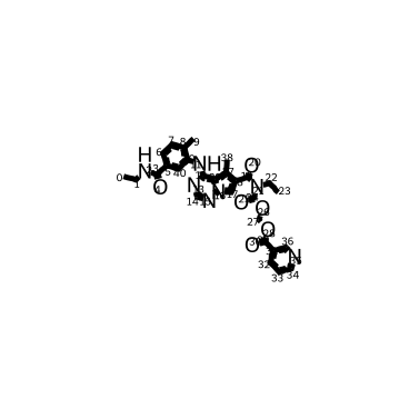 CCNC(=O)c1ccc(C)c(Nc2ncnn3cc(C(=O)N(CC)C(=O)OCOC(=O)c4cccnc4)c(C)c23)c1